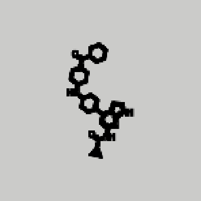 O=C(Nc1cc(C2=CCC(NC3CCN(C(=O)C4CCCCC4)CC3)CC2)c2cc[nH]c2n1)C1CC1